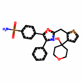 NS(=O)(=O)c1ccc(-c2oc(Cc3sccc3C3(O)CCOCC3)nc2-c2ccccc2)cc1